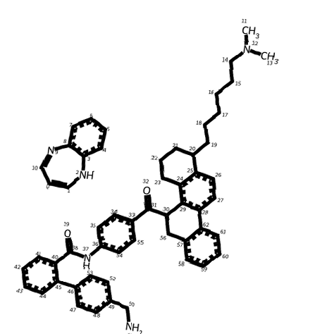 C1=CNc2ccccc2N=C1.CN(C)CCCCCCC1CCCc2c1ccc1c2C(C(=O)c2ccc(NC(=O)c3ccccc3-c3ccc(CN)cc3)cc2)Cc2ccccc2-1